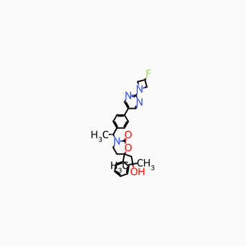 C[C@@H](c1ccc(-c2cnc(N3CC(F)C3)nc2)cc1)N1CCC(CC(C)(C)O)(c2ccccc2)OC1=O